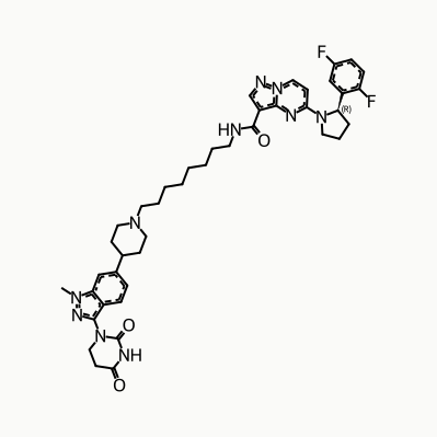 Cn1nc(N2CCC(=O)NC2=O)c2ccc(C3CCN(CCCCCCCCNC(=O)c4cnn5ccc(N6CCC[C@@H]6c6cc(F)ccc6F)nc45)CC3)cc21